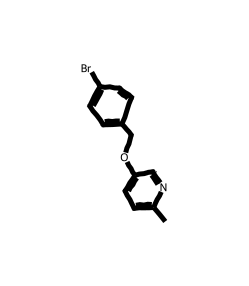 Cc1ccc(OCc2ccc(Br)cc2)[c]n1